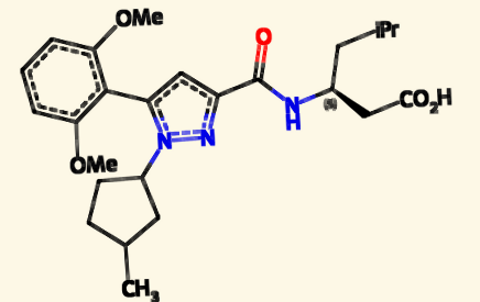 COc1cccc(OC)c1-c1cc(C(=O)N[C@H](CC(=O)O)CC(C)C)nn1C1CCC(C)C1